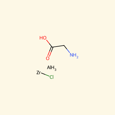 NCC(=O)O.[AlH3].[Cl][Zr]